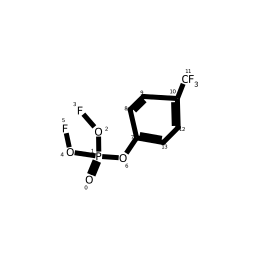 O=P(OF)(OF)Oc1ccc(C(F)(F)F)cc1